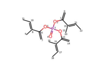 C=C(OP(=O)(OC(=C)/C(C)=C/C)OC(=C)/C(C)=C/C)/C(C)=C/C